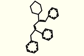 C(=C(Cc1ccccc1)c1ccccc1)C(=Cc1ccccc1)C1CCCCC1